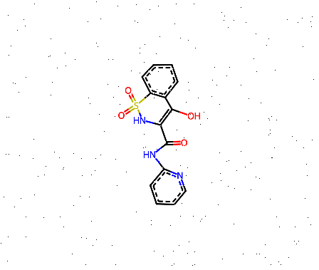 O=C(Nc1ccccn1)C1=C(O)c2ccccc2S(=O)(=O)N1